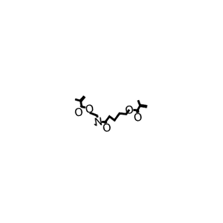 C=C(C)C(=O)OCCCCC(=O)N(C)CCOC(=O)C(=C)C